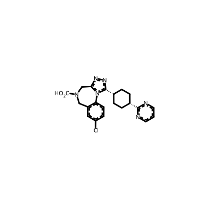 O=C(O)N1Cc2cc(Cl)ccc2-n2c(nnc2[C@H]2CC[C@@H](c3ncccn3)CC2)C1